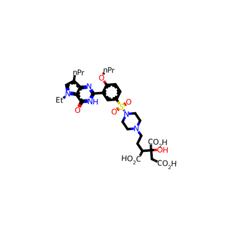 CCCOc1ccc(S(=O)(=O)N2CCN(CCC(C(=O)O)C(O)(CC(=O)O)C(=O)O)CC2)cc1-c1nc2c(CCC)cn(CC)c2c(=O)[nH]1